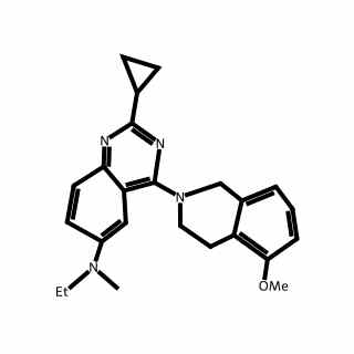 CCN(C)c1ccc2nc(C3CC3)nc(N3CCc4c(cccc4OC)C3)c2c1